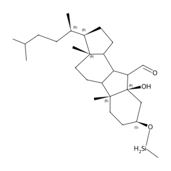 C[SiH2]O[C@H]1CC[C@]2(C)C3CC[C@@]4(C)C(CC[C@@H]4[C@H](C)CCC(C)C)C3C(C=O)[C@]2(O)C1